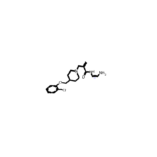 C=C(CN1CCC(COc2ccccc2Cl)CC1)C(=O)N/C=C\N